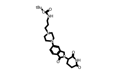 CC(C)(C)OC(=O)NCCCN1CCN(c2ccc3c(c2)CN(C2CCC(=O)NC2=O)C3=O)CC1